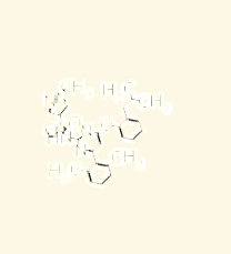 Cc1cccc(C)c1-c1cc(Oc2ccccc2CC(C)C)nc(NS(=O)(=O)c2cnn(C)c2)n1